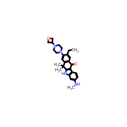 CCc1cc2c(cc1N1CCN(C3COC3)CC1)C(C)(C)c1[nH]c3cc(NC)ccc3c1C2=O